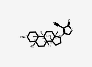 C[C@]12CC[C@H](O)C[C@@]1(O)CC[C@@H]1[C@@H]2CC[C@]2(C)[C@@H](C3=C(C#N)C(=O)OC3)CC[C@]12O